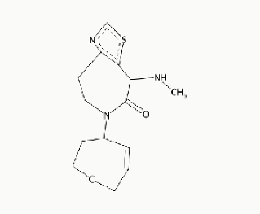 CNC1C(=O)N(C2C=CCCCC2)CCc2ncsc21